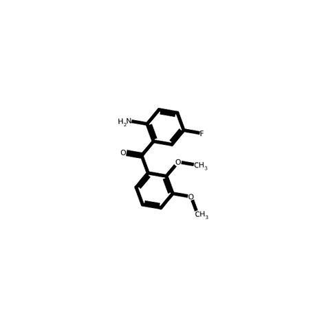 COc1cccc(C(=O)c2cc(F)ccc2N)c1OC